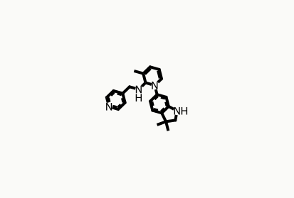 CC1=CC=CN(c2ccc3c(c2)NCC3(C)C)C1NCc1ccncc1